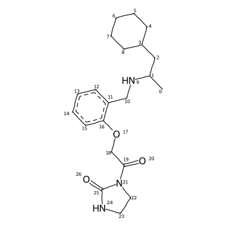 CC(CC1CCCCC1)NCc1ccccc1OCC(=O)N1CCNC1=O